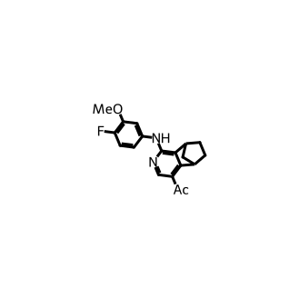 COc1cc(Nc2ncc(C(C)=O)c3c2C2CCC3C2)ccc1F